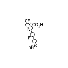 CCCOc1ccc(-c2ccc(-c3cc(C(=O)O)c4cc(C(F)(F)F)ccc4n3)cc2F)cc1